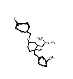 Cc1cccc(CC2(O)CCC(OCc3ccc(F)cc3)CC2CN(C)C)c1